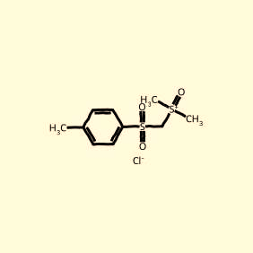 Cc1ccc(S(=O)(=O)C[S+](C)(C)=O)cc1.[Cl-]